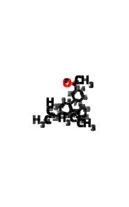 CC(=O)c1cccc(-c2ccc(CC(C)C)cc2[C@H]2CCCC2(C)C)c1